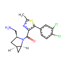 Cc1nc(C(=O)N2[C@H](CN)C[C@@H]3C[C@@H]32)c(-c2ccc(Cl)c(Cl)c2)s1